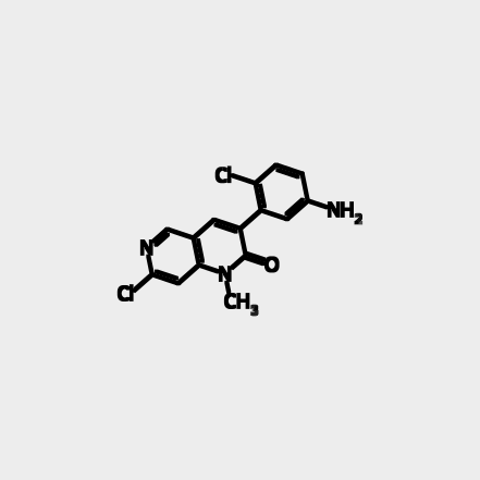 Cn1c(=O)c(-c2cc(N)ccc2Cl)cc2cnc(Cl)cc21